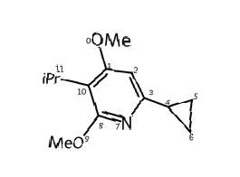 COc1cc(C2CC2)nc(OC)c1C(C)C